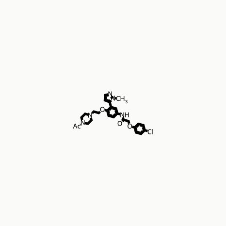 CC(=O)N1CCN(CCOc2ccc(NC(=O)COc3ccc(Cl)cc3)cc2-c2ccnn2C)CC1